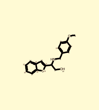 COc1ccc(CNC(CO)c2cc3ccccc3s2)cc1